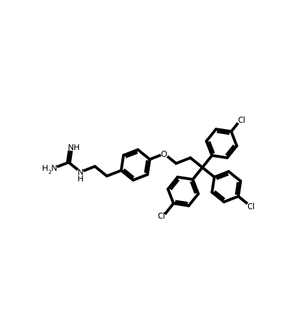 N=C(N)NCCc1ccc(OCCC(c2ccc(Cl)cc2)(c2ccc(Cl)cc2)c2ccc(Cl)cc2)cc1